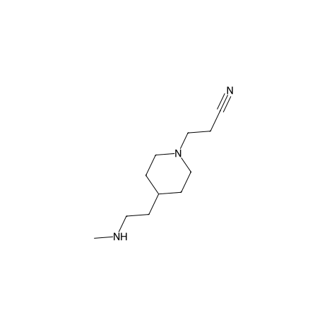 CNCCC1CCN(CCC#N)CC1